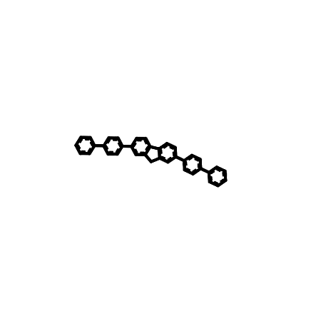 c1ccc(-c2ccc(-c3ccc4c(c3)Cc3cc(-c5ccc(-c6ccccc6)cc5)ccc3-4)cc2)cc1